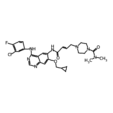 CN(C)C(=O)N1CCN(CC=CC(=O)Nc2cc3c(Nc4ccc(F)c(Cl)c4)ncnc3cc2OCC2CC2)CC1